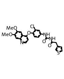 COc1cc2nccc(Oc3ccc(NC(=O)NC(=O)Cc4ccsc4)cc3Cl)c2cc1OC